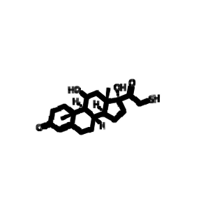 C[C@]12CCC(=O)C=C1CC[C@@H]1[C@@H]2C(O)C[C@@]2(C)[C@H]1CC[C@]2(O)C(=O)CS